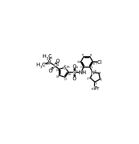 CC(C)C1CCN(c2c(Cl)cccc2NS(=O)(=O)c2ccc(S(=O)(=O)N(C)C)s2)C1